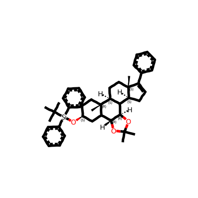 CC1(C)O[C@@H]2C3[C@H](CC[C@]4(C)C(c5ccccc5)=CC[C@@H]34)[C@@]3(C)CC[C@H](O[Si](c4ccccc4)(c4ccccc4)C(C)(C)C)CC3[C@H]2O1